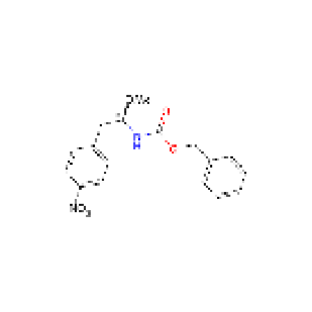 CO[C@H](Cc1ccc([N+](=O)[O-])cc1)NC(=O)OCc1ccccc1